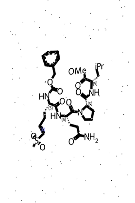 COC(=O)[C@H](CC(C)C)NC(=O)[C@@H]1CCCN1C(=O)[C@H](CCC(N)=O)NC(=O)[C@H](CC/C=C/S(C)(=O)=O)NC(=O)OCc1ccccc1